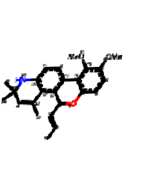 CC=CC1Oc2ccc(OC)c(OC)c2-c2ccc3c(c21)C(C)=CC(C)(C)N3